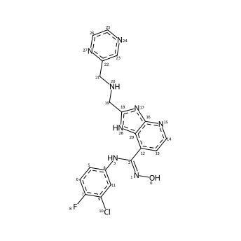 O/N=C(/Nc1ccc(F)c(Cl)c1)c1ccnc2nc(CNCc3cnccn3)[nH]c12